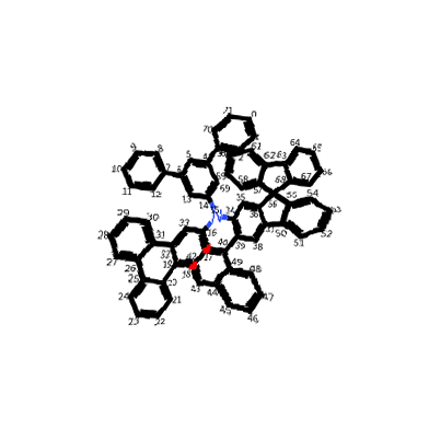 c1ccc(-c2cc(-c3ccccc3)cc(N(c3ccc4c5ccccc5c5ccccc5c4c3)c3cc4c(cc3-c3cccc5ccccc35)-c3ccccc3C43c4ccccc4-c4ccccc43)c2)cc1